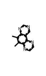 Cc1c(C)c2nccnc2c2cncnc12